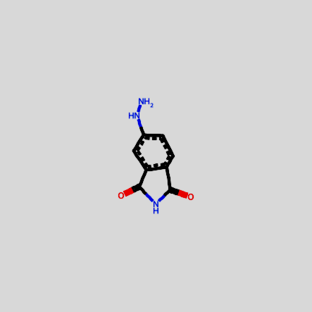 NNc1ccc2c(c1)C(=O)NC2=O